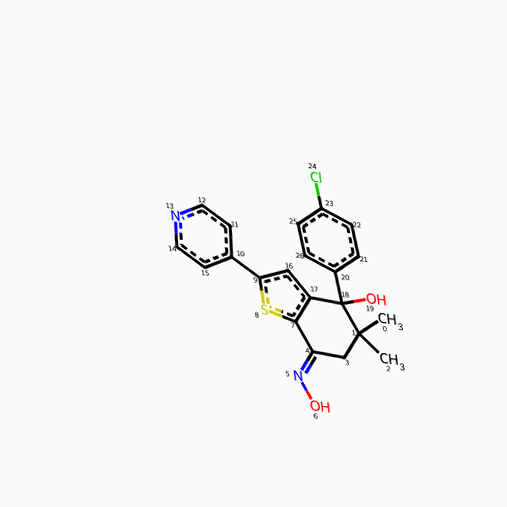 CC1(C)C/C(=N\O)c2sc(-c3ccncc3)cc2C1(O)c1ccc(Cl)cc1